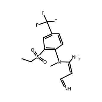 CCS(=O)(=O)c1cc(C(F)(F)F)ccc1N(C)/C(N)=C\C=N